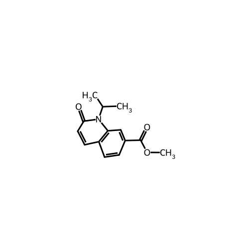 COC(=O)c1ccc2ccc(=O)n(C(C)C)c2c1